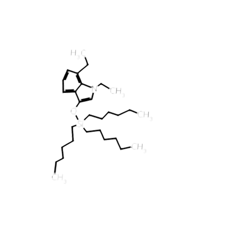 CCCCCC[Si](CCCCCC)(CCCCCC)Oc1cn(CC)c2c(CC)cccc12